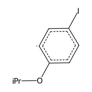 CC(C)Oc1[c]cc(I)cc1